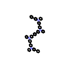 C1=CCCC(N(C2=CCC(C3=CCC(N(C4=CC=C(c5ccc(-c6ccc(N(C7=CCC(c8ccc(N(C9=CC=CCC9)c9ccc(-c%10ccccc%10)cc9)cc8)C=C7)c7ccccc7)cc6)cc5)CC4)c4ccccc4)C=C3)C=C2)c2ccc(C3=CCCC=C3)cc2)=C1